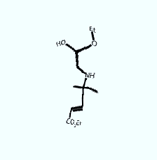 CCOC(=O)C=CC(C)(C)NCC(O)OCC